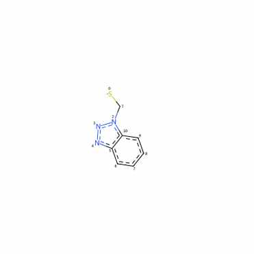 [S]Cn1nnc2ccccc21